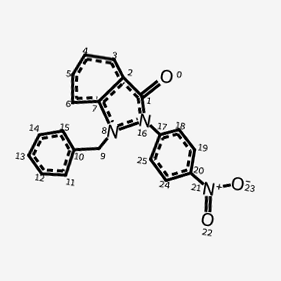 O=c1c2ccccc2n(Cc2ccccc2)n1-c1ccc([N+](=O)[O-])cc1